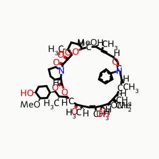 C=C1[C@H](C)C[C@H](C)C2CC[C@H](/C=C(\C)[C@@H](OC)C[C@@H]3CC[C@@H](C)[C@@](O)(O3)C(=O)C(=O)N3CCCC[C@H]3C(=O)O[C@H]([C@H](C)C[C@@H]3CC[C@@H](O)[C@H](OC)C3)CC(=O)[C@H](C)/C=C(\C)[C@@H](O)[C@H]1OC)ON2c1ccccc1